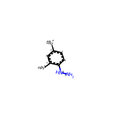 CCCc1cc(C(C)(C)C)ccc1NN